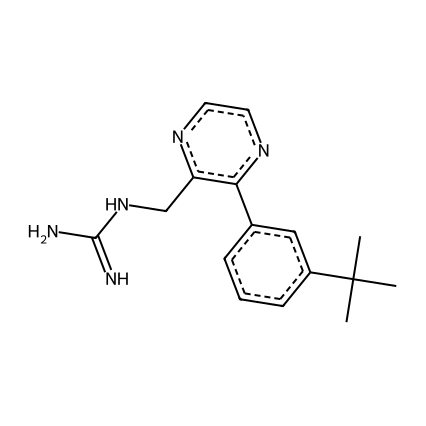 CC(C)(C)c1cccc(-c2nccnc2CNC(=N)N)c1